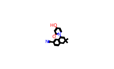 CC1(C)C=C(n2ccc(O)cc2=O)c2cc(C#N)ccc2C1